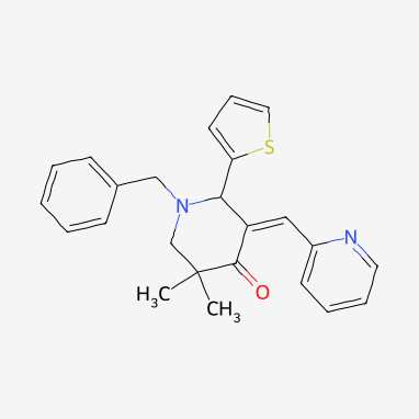 CC1(C)CN(Cc2ccccc2)C(c2cccs2)C(=Cc2ccccn2)C1=O